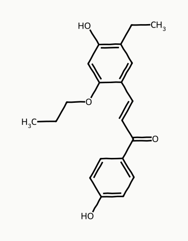 CCCOc1cc(O)c(CC)cc1C=CC(=O)c1ccc(O)cc1